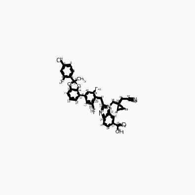 CC1(c2ccc(Cl)cc2F)Oc2cccc(-c3cc(F)c(Cc4nc5ccc(C(=O)O)cc5n4CC4(CC#N)CC4)c(F)c3)c2O1